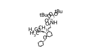 CC(C)(C)OC(=O)C[C@H](NC(=O)/C=C/c1cccc(OCc2ccccc2)c1C#C[Si](C)(C)C)C(=O)OC(C)(C)C